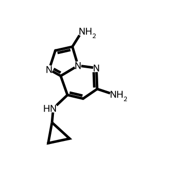 Nc1cc(NC2CC2)c2ncc(N)n2n1